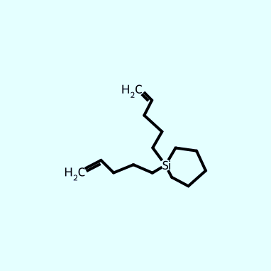 C=CCCC[Si]1(CCCC=C)CCCCC1